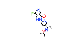 CC/C(=N/OC(C)CC)c1ccc(NC(=O)c2cncc(F)c2C)nc1